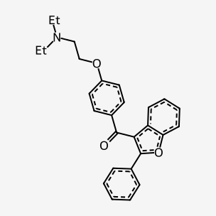 CCN(CC)CCOc1ccc(C(=O)c2c(-c3ccccc3)oc3ccccc23)cc1